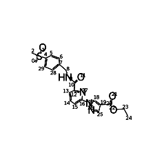 C=S(C)(=O)c1ccc(CNC(=O)c2cccc(-n3cc(C(=O)OCC)cn3)n2)cc1